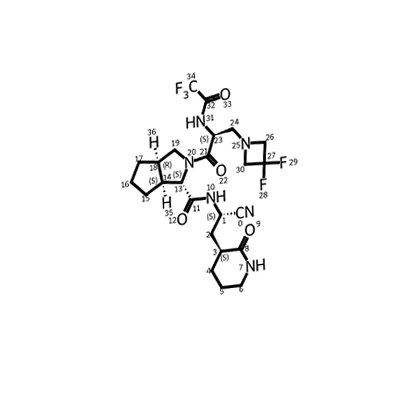 N#C[C@H](C[C@@H]1CCCNC1=O)NC(=O)[C@@H]1[C@H]2CCC[C@H]2CN1C(=O)[C@H](CN1CC(F)(F)C1)NC(=O)C(F)(F)F